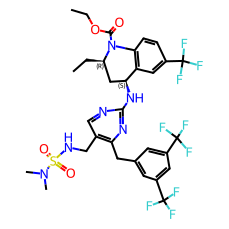 CCOC(=O)N1c2ccc(C(F)(F)F)cc2[C@@H](Nc2ncc(CNS(=O)(=O)N(C)C)c(Cc3cc(C(F)(F)F)cc(C(F)(F)F)c3)n2)C[C@H]1CC